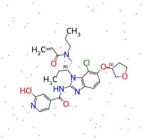 C=CC(=O)N(CCC)C[C@@H](CC)n1c(NC(=O)c2ccnc(O)c2)nc2ccc(O[C@H]3CCOC3)c(Cl)c21